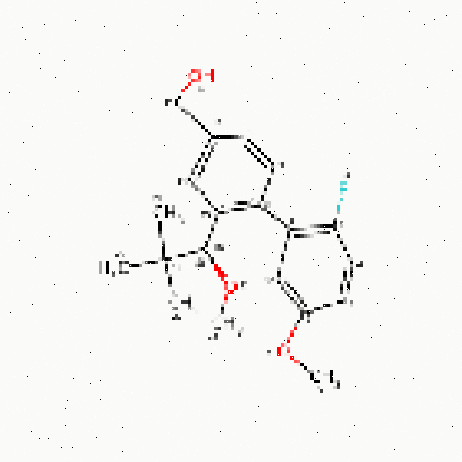 COc1ccc(F)c(-c2ccc(CO)cc2[C@@H](OC)C(C)(C)C)c1